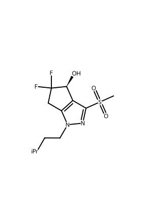 CC(C)CCn1nc(S(C)(=O)=O)c2c1CC(F)(F)[C@H]2O